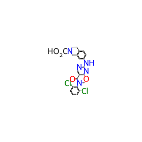 O=C(O)N1CCc2ccc(Nc3ncc4c(n3)OCN(c3c(Cl)cccc3Cl)C4=O)cc2C1